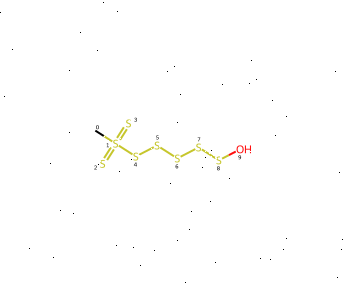 CS(=S)(=S)SSSSSO